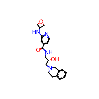 O=C(NC[C@H](O)CN1CCc2ccccc2C1)c1ccnc(NC2COC2)c1